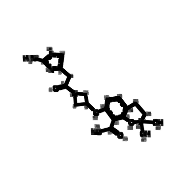 [NH3+]c1nc(CC(=O)N2CC(Oc3ccc4c(c3C(=O)O)O[B-](O)(O)CC4)C2)cs1